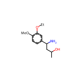 CCOc1cc(C(N)CC(C)O)ccc1OC